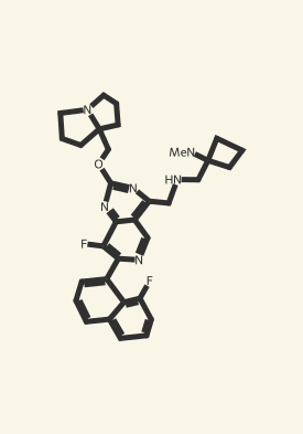 CNC1(CNCc2nc(OCC34CCCN3CCC4)nc3c(F)c(-c4cccc5cccc(F)c45)ncc23)CCC1